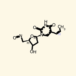 C/C=C\c1cn([C@H]2CC(O)[C@@H](CN=O)O2)c(=O)[nH]c1=O